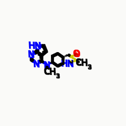 CN(c1ncnc2[nH]ccc12)[C@H]1CC[C@@H](C[S@@](C)(=N)=O)CC1